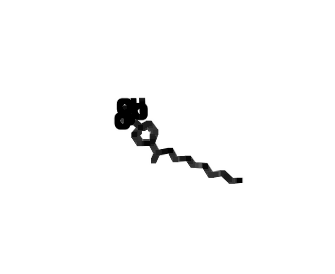 CCCCCCCCCC(C)c1ccc(S(=O)(=O)O)cc1